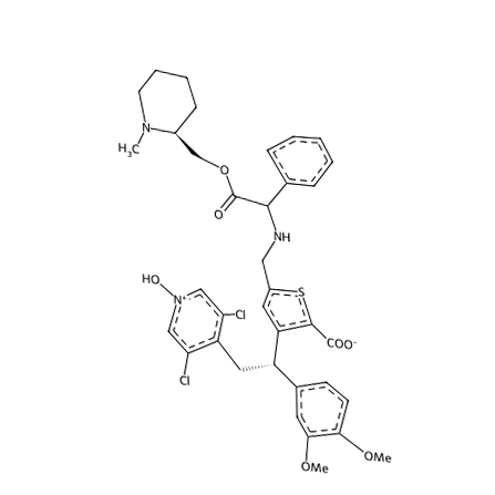 COc1ccc([C@H](Cc2c(Cl)c[n+](O)cc2Cl)c2cc(CNC(C(=O)OC[C@@H]3CCCCN3C)c3ccccc3)sc2C(=O)[O-])cc1OC